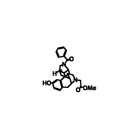 COC(=O)CN1CCC23c4cc(O)ccc4CC1C21CCC2C3[C@@H](CN2C(=O)c2ccccc2)C1